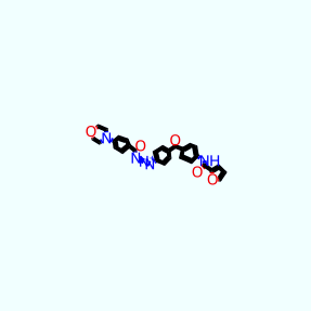 O=C(N=[N+]=Nc1ccc(C(=O)c2ccc(NC(=O)c3ccco3)cc2)cc1)c1ccc(N2CCOCC2)cc1